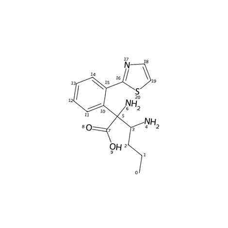 CCCC(N)C(N)(C(=O)O)c1ccccc1-c1nccs1